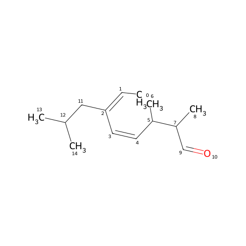 C/C=C(\C=C/C(C)C(C)C=O)CC(C)C